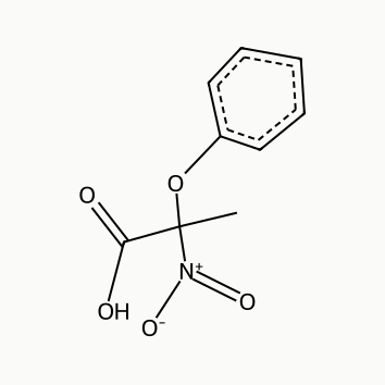 CC(Oc1ccccc1)(C(=O)O)[N+](=O)[O-]